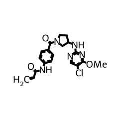 C=CC(=O)Nc1ccc(C(=O)N2CCC(Nc3ncc(Cl)c(OC)n3)C2)cc1